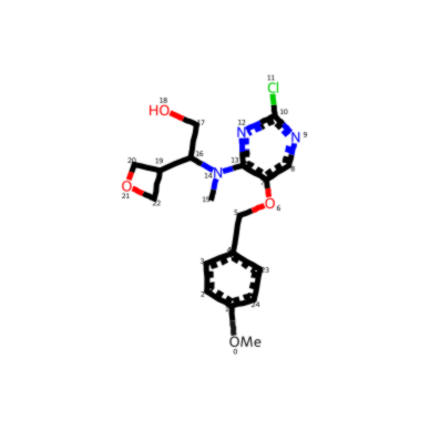 COc1ccc(COc2cnc(Cl)nc2N(C)C(CO)C2COC2)cc1